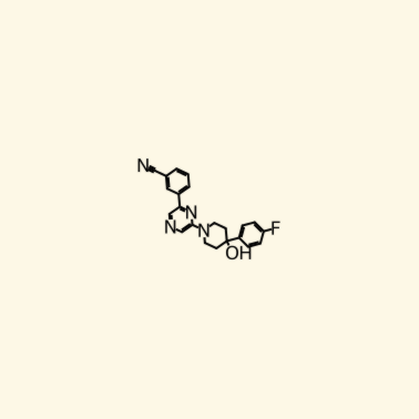 N#Cc1cccc(-c2cncc(N3CCC(O)(c4ccc(F)cc4)CC3)n2)c1